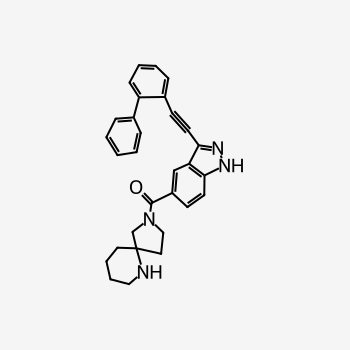 O=C(c1ccc2[nH]nc(C#Cc3ccccc3-c3ccccc3)c2c1)N1CCC2(CCCCN2)C1